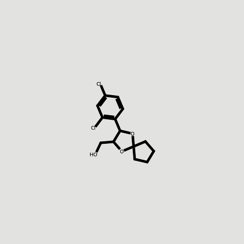 OCC1OC2(CCCC2)OC1c1ccc(Cl)cc1Cl